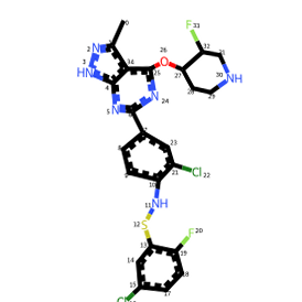 Cc1n[nH]c2nc(-c3ccc(NSc4cc(Cl)ccc4F)c(Cl)c3)nc(OC3CCNCC3F)c12